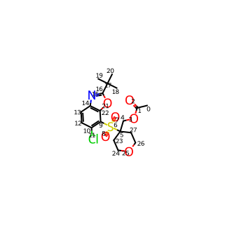 CC(=O)OCC1(S(=O)(=O)c2c(Cl)ccc3nc(C(C)(C)C)oc23)CCOCC1